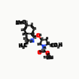 COc1ccc2c(OC3CC(C(=O)O)N(C(=O)OC(C)(C)C)C3)nc(C)cc2c1